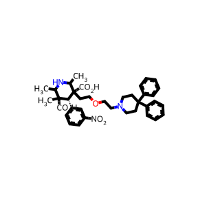 CC1NC(C)C(CCOCCN2CCC(c3ccccc3)(c3ccccc3)CC2)(C(=O)O)[C@H](c2cccc([N+](=O)[O-])c2)C1(C)C(=O)O